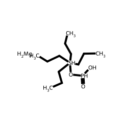 CCC[SH](CCC)(CCC)(CCC)O[PH](=O)O.[MgH2]